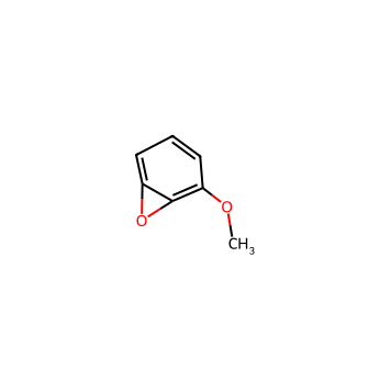 COc1cccc2c1O2